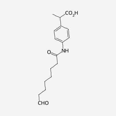 CC(C(=O)O)c1ccc(NC(=O)CCCCCCC=O)cc1